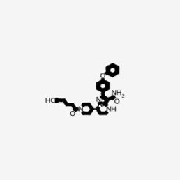 C#CCCCC(=O)N1CCC([C@@H]2CCNc3c(C(N)=O)c(-c4ccc(Oc5ccccc5)cc4)nn32)CC1